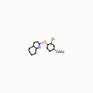 COc1ccc(Oc2ccc3ccccc3n2)c(Br)c1